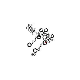 O=C(O[C@H]1C[N+]2(CCCOc3cccc(O)c3)CCC1CC2)[C@](O)(c1cccs1)C1CCCC1.O=C(O[C@H]1C[N+]2(CCOCc3ccccc3)CCC1CC2)[C@](O)(c1cccs1)C1CCCC1.O=C([O-])C(F)(F)F.O=C([O-])C(F)(F)F